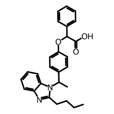 CCCCc1nc2ccccc2n1C(C)c1ccc(OC(C(=O)O)c2ccccc2)cc1